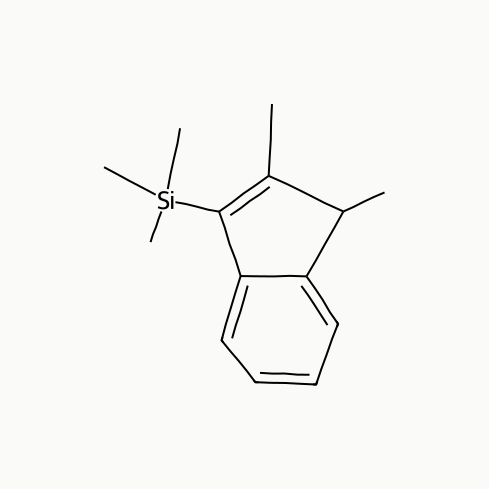 CC1=C([Si](C)(C)C)c2ccccc2C1C